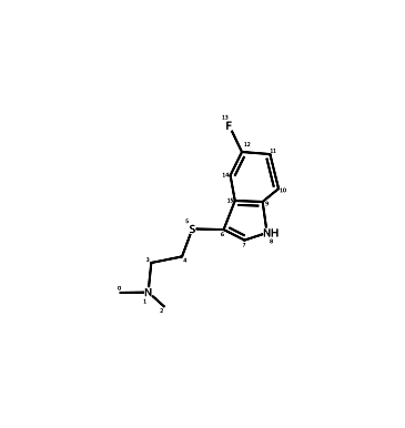 CN(C)CCSc1c[nH]c2ccc(F)cc12